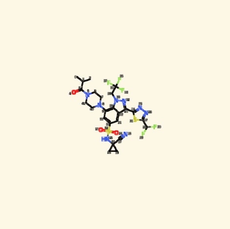 CC(C)C(=O)N1CCN(c2cc(S(=O)(=O)NC3(C#N)CC3)cc3c(-c4nnc(C(F)F)s4)nn(CC(F)(F)F)c23)CC1